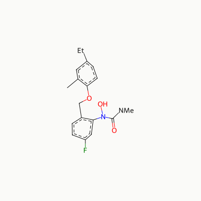 CCc1ccc(OCc2ccc(F)cc2N(O)C(=O)NC)c(C)c1